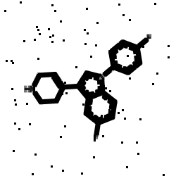 Fc1ccc(-n2cc(C3=CCNCC3)c3cc(F)ccc32)cc1